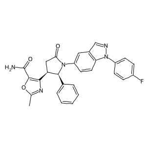 Cc1nc([C@H]2CC(=O)N(c3ccc4c(cnn4-c4ccc(F)cc4)c3)[C@H]2c2ccccc2)c(C(N)=O)o1